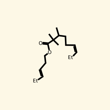 CCC=CCCOC(=O)C(C)(C)C(C)CC/C=C\CC